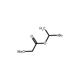 [CH2]C(CCCC)OC(=O)COC